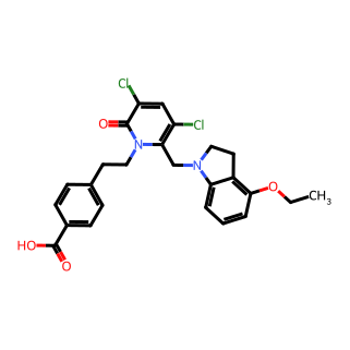 CCOc1cccc2c1CCN2Cc1c(Cl)cc(Cl)c(=O)n1CCc1ccc(C(=O)O)cc1